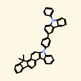 CC1(C)c2ccccc2-c2ccc3c(ccc4c3c3ccccc3n4-c3ccc(-c4ccc5c(c4)c4ccccc4n5-c4ccccc4)cc3)c21